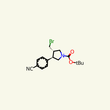 CC(C)(C)OC(=O)N1C[C@@H](CBr)[C@H](c2ccc(C#N)cc2)C1